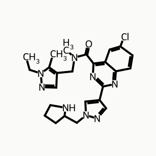 CCn1ncc(CN(C)C(=O)c2nc(-c3cnn(CC4CCCN4)c3)nc3ccc(Cl)cc23)c1C